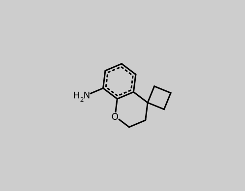 Nc1cccc2c1OCCC21CCC1